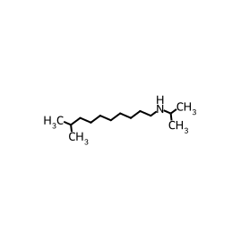 CC(C)CCCCCCCCNC(C)C